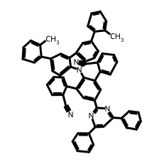 Cc1ccccc1-c1ccc2c(c1)c1cc(-c3ccccc3C)ccc1n2-c1c(-c2ccccc2C#N)cc(-c2nc(-c3ccccc3)cc(-c3ccccc3)n2)cc1-c1ccccc1C#N